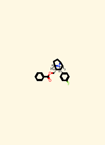 CN1C2CC[C@@H]1[C@@H](COC(=O)c1ccccc1)[C@@H](c1ccc(F)cc1)C2